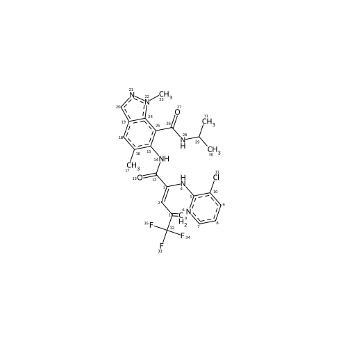 C=C(/C=C(\Nc1ncccc1Cl)C(=O)Nc1c(C)cc2cnn(C)c2c1C(=O)NC(C)C)C(F)(F)F